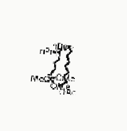 CCCCCCCCCCCCCCCCCCOC(C)=O.CCCN(CCC)CCCC[Si](OC)(OC)OC